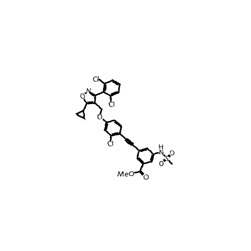 COC(=O)c1cc(C#Cc2ccc(OCc3c(-c4c(Cl)cccc4Cl)noc3C3CC3)cc2Cl)cc(NS(C)(=O)=O)c1